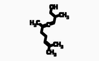 CC(=C=CC(C)CO)CCC=C(C)C